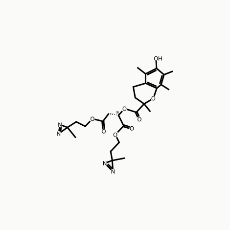 Cc1c(C)c2c(c(C)c1O)CCC(C)(C(=O)O[C@@H](CC(=O)OCCC1(C)N=N1)C(=O)OCCC1(C)N=N1)O2